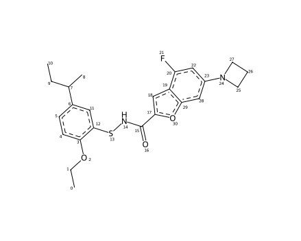 CCOc1ccc(C(C)CC)cc1SNC(=O)c1cc2c(F)cc(N3CCC3)cc2o1